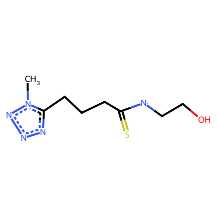 Cn1nnnc1CCCC(=S)[N]CCO